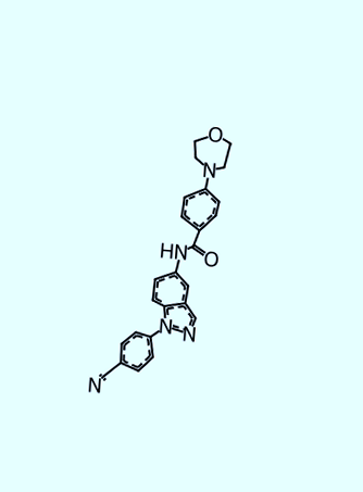 N#Cc1ccc(-n2ncc3cc(NC(=O)c4ccc(N5CCOCC5)cc4)ccc32)cc1